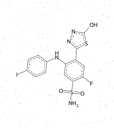 NS(=O)(=O)c1cc(Nc2ccc(I)cc2)c(-c2nnc(O)s2)cc1F